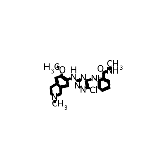 CNC(=O)c1ccccc1Nc1nc(Nc2cc3c(cc2OC)CCN(C)C3)nnc1Cl